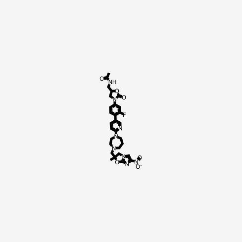 CC(=O)NCC1CN(c2ccc(-c3ccc(N4CCCN(CC5(C)Cn6cc([N+](=O)[O-])nc6O5)CC4)nc3)c(F)c2)C(=O)O1